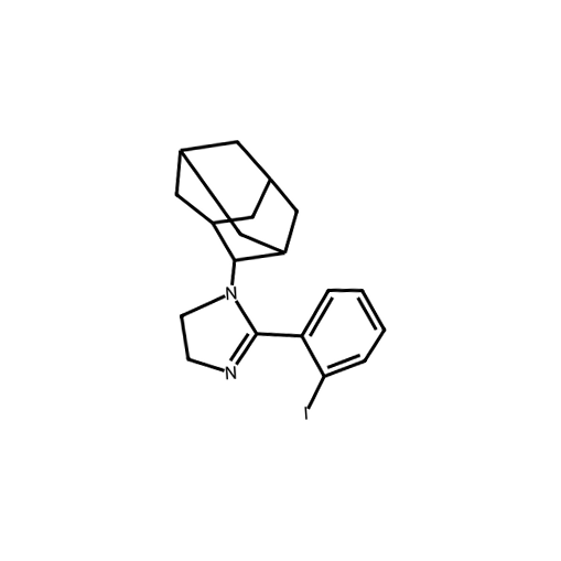 Ic1ccccc1C1=NCCN1C1C2CC3CC(C2)CC1C3